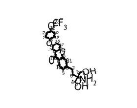 NC(CO)(CO)CCc1ccc2c(=O)c3cc(Oc4ccc(OC(F)(F)F)cc4)ccc3oc2c1